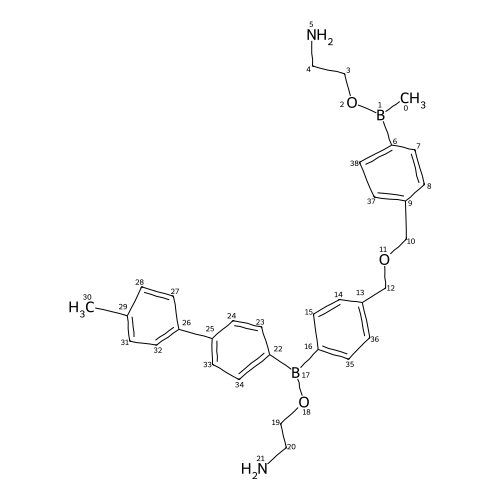 CB(OCCN)c1ccc(COCc2ccc(B(OCCN)c3ccc(-c4ccc(C)cc4)cc3)cc2)cc1